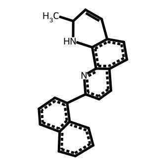 CC1C=Cc2ccc3ccc(-c4cccc5ccccc45)nc3c2N1